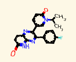 CC(C)n1cc(-c2nc3ccc(=O)[nH]c3nc2-c2ccc(F)cc2)ccc1=O